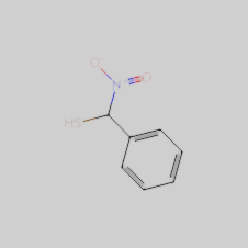 O=[N+]([O-])C(S)c1ccccc1